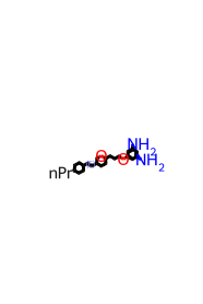 CCCC1CCC(/C=C/C2CCC(CCCOc3cc(N)cc(N)c3)OC2)CC1